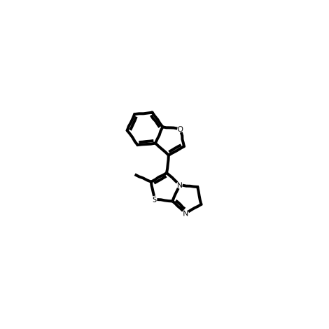 CC1=C(c2coc3ccccc23)N2CCN=C2S1